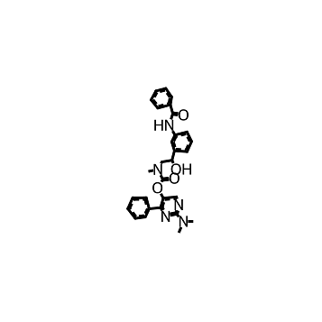 CN(CC(O)c1cccc(NC(=O)c2ccccc2)c1)C(=O)Oc1cnc(N(C)C)nc1-c1ccccc1